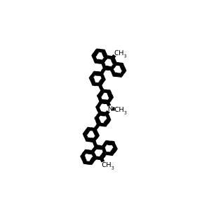 Cc1c2ccccc2c(-c2cccc(-c3ccc4c(c3)Cc3cc(-c5cccc(-c6c7ccccc7c(C)c7ccccc67)c5)ccc3N4C)c2)c2ccccc12